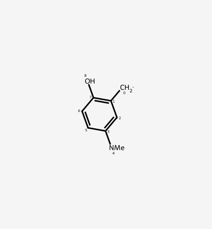 [CH2]c1cc(NC)ccc1O